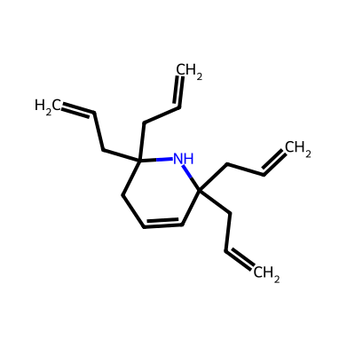 C=CCC1(CC=C)C=CCC(CC=C)(CC=C)N1